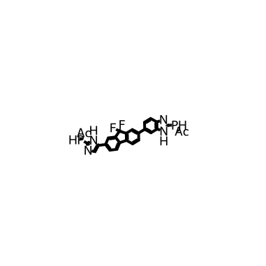 CC(=O)Pc1ncc(-c2ccc3c(c2)C(F)(F)c2cc(-c4ccc5nc(PC(C)=O)[nH]c5c4)ccc2-3)[nH]1